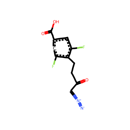 [N-]=[N+]=CC(=O)CCc1c(F)cc(C(=O)O)cc1F